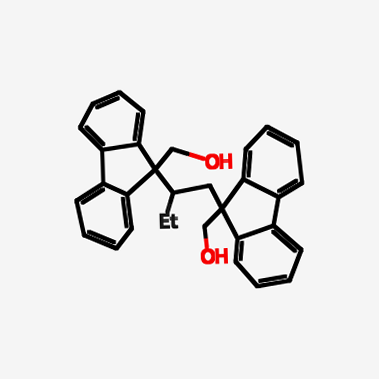 CCC(CC1(CO)c2ccccc2-c2ccccc21)C1(CO)c2ccccc2-c2ccccc21